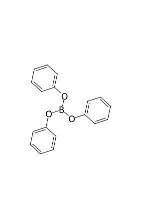 c1ccc(OB(Oc2ccccc2)Oc2ccccc2)cc1